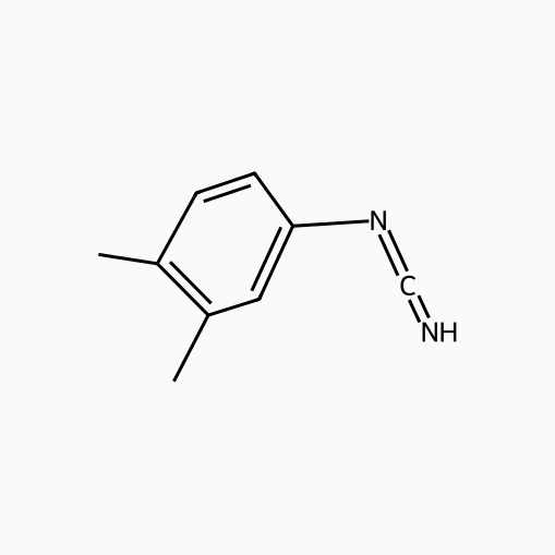 Cc1ccc(N=C=N)cc1C